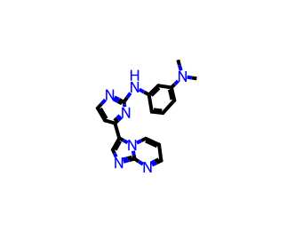 CN(C)c1cccc(Nc2nccc(-c3cnc4ncccn34)n2)c1